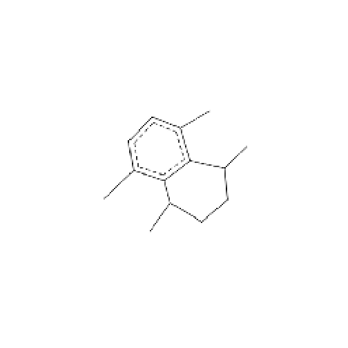 Cc1ccc(C)c2c1C(C)CCC2C